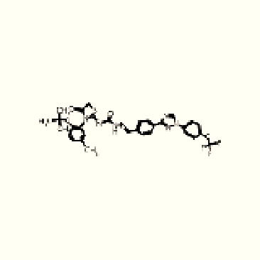 Cc1ccc(OC(C)(C)C)c(N2C(=O)CS/C2=N\C(=O)N/N=C/c2ccc(-c3ncn(-c4ccc(OC(F)(F)F)cc4)n3)cc2)c1